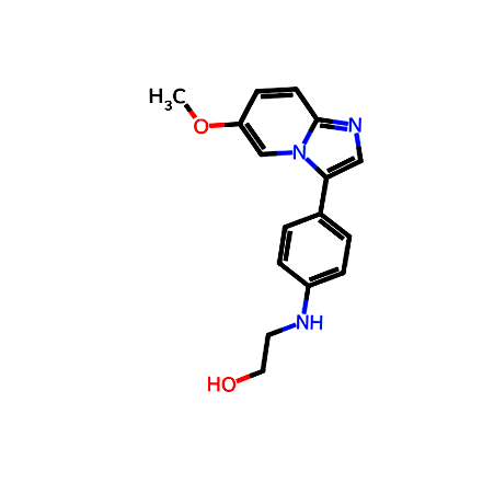 COc1ccc2ncc(-c3ccc(NCCO)cc3)n2c1